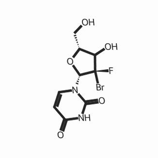 O=c1ccn([C@@H]2O[C@H](CO)C(O)[C@]2(F)Br)c(=O)[nH]1